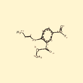 CCCOc1ccc([N+](=O)[O-])cc1C(=O)OC